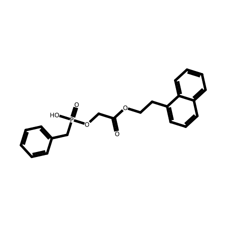 O=C(COP(=O)(O)Cc1ccccc1)OCCc1cccc2ccccc12